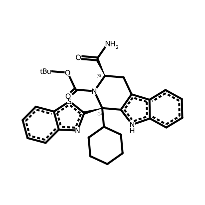 CC(C)(C)OC(=O)N1[C@@H](C(N)=O)Cc2c([nH]c3ccccc23)[C@]1(c1nc2ccccc2s1)C1CCCCC1